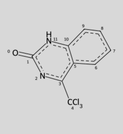 O=c1nc(C(Cl)(Cl)Cl)c2ccccc2[nH]1